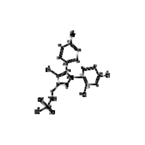 CCc1c(CNS(=O)(=O)CC)nn(-c2ccc(Cl)cc2Cl)c1-c1ccc(Br)cc1